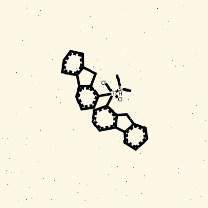 C[SiH](C)[Ti]([Cl])([Cl])([c]1cccc2c1Cc1ccccc1-2)[c]1cccc2c1Cc1ccccc1-2